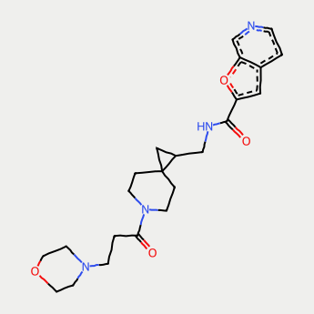 O=C(NCC1CC12CCN(C(=O)CCN1CCOCC1)CC2)c1cc2ccncc2o1